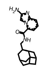 Nc1cn2c(C(=O)NCC34CC5CC6CC(C3)C6(C5)C4)cccc2n1